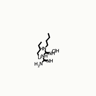 CCCCNC(=N)NC(=N)N.Cl.[Li][CH2]CCC